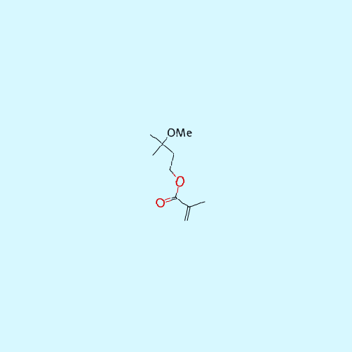 C=C(C)C(=O)OCCC(C)(C)OC